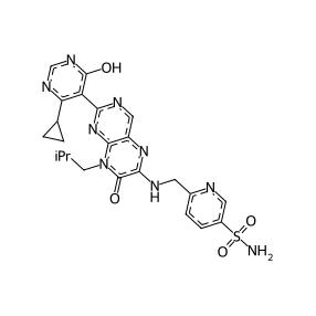 CC(C)Cn1c(=O)c(NCc2ccc(S(N)(=O)=O)cn2)nc2cnc(-c3c(O)ncnc3C3CC3)nc21